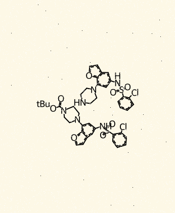 CC(C)(C)OC(=O)N1CCN(c2cc(NS(=O)(=O)c3ccccc3Cl)cc3ccoc23)CC1.O=S(=O)(Nc1cc(N2CCNCC2)c2occc2c1)c1ccccc1Cl